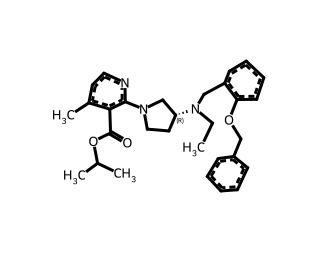 CCN(Cc1ccccc1OCc1ccccc1)[C@@H]1CCN(c2nccc(C)c2C(=O)OC(C)C)C1